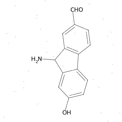 NC1c2cc(O)ccc2-c2ccc(C=O)cc21